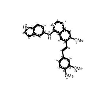 COc1cc2ncnc(Nc3ccc4[nH]ccc4c3)c2cc1C=Cc1ccc(OC)c(OC)c1